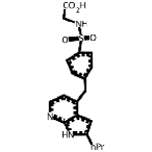 CCCc1cc2c(Cc3ccc(S(=O)(=O)NCC(=O)O)cc3)ccnc2[nH]1